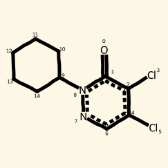 O=c1c(Cl)c(Cl)cnn1C1CCCCC1